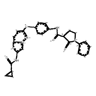 O=C(Nc1cn2nc(Oc3ccc(NC(=O)C4CCN(c5ccccc5)C4=O)cc3)ccc2n1)C1CC1